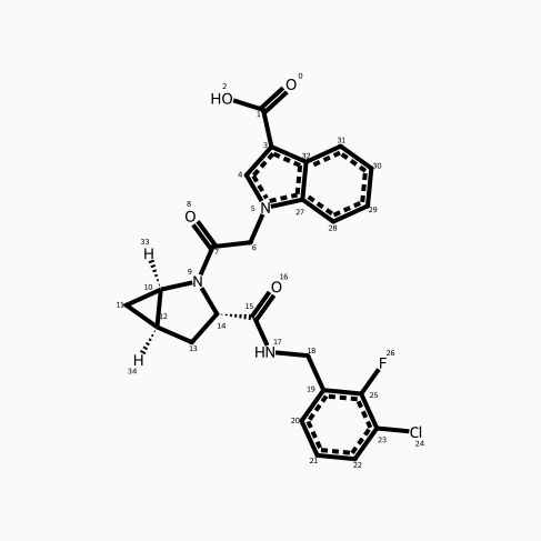 O=C(O)c1cn(CC(=O)N2[C@@H]3C[C@@H]3C[C@H]2C(=O)NCc2cccc(Cl)c2F)c2ccccc12